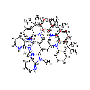 Cn1c(-c2cc(N3c4ccccc4C(C)(C)c4ccccc43)c(N3c4ccccc4C(C)(C)c4ccccc43)c(N3c4ccccc4C(C)(C)c4ccccc43)c2-c2nc3cccnc3n2C)nc2cccnc21